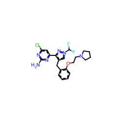 Nc1nc(Cl)cc(-c2nn(C(F)F)cc2Cc2ccccc2OCCN2CCCC2)n1